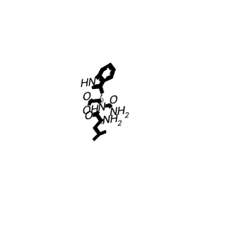 CC(C)C[C@H](N)C(=O)N(C(N)=O)[C@@H](Cc1c[nH]c2ccccc12)C(=O)O